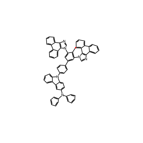 Cc1c(-n2cnc3c4ccccc4c4ccccc4c32)cc(-c2ccc(-n3c4ccccc4c4cc(N(c5ccccc5)c5ccccc5)ccc43)cc2)cc1-n1cnc2c3ccccc3c3ccccc3c21